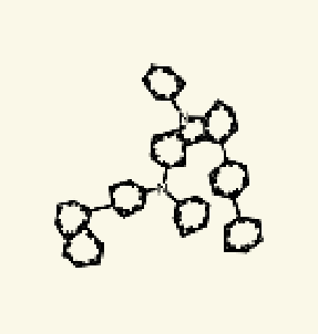 c1ccc(-c2ccc(-c3cccc4c3c3cc(N(c5ccccc5)c5ccc(-c6cccc7ccccc67)cc5)ccc3n4-c3ccccc3)cc2)cc1